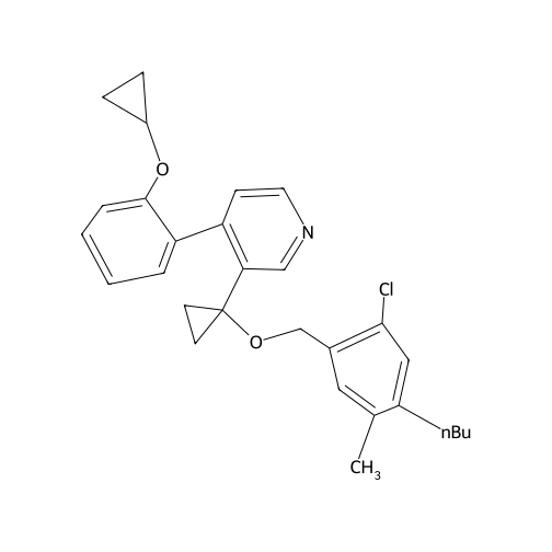 CCCCc1cc(Cl)c(COC2(c3cnccc3-c3ccccc3OC3CC3)CC2)cc1C